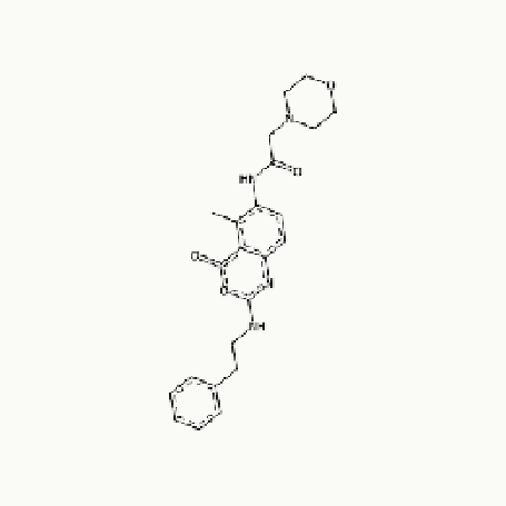 Cc1c(NC(=O)CN2CCOCC2)ccc2nc(NCCc3ccccc3)oc(=O)c12